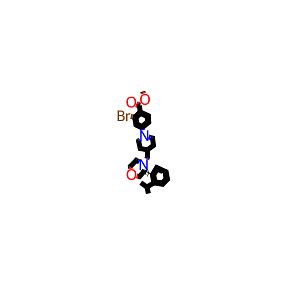 COC(=O)c1ccc(N2CCC(CN3CCOC[C@H]3c3ccccc3C(C)C)CC2)cc1Br